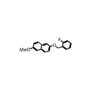 COc1ccc2cc(OCc3ccccc3F)ccc2c1